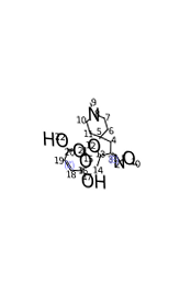 CO/N=C1\CC2(CCN(C)CC2)OC1C.O=C(O)/C=C\C(=O)O